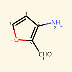 Nc1ccoc1C=O